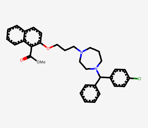 COC(=O)c1c(OCCCN2CCCN(C(c3ccccc3)c3ccc(Cl)cc3)CC2)ccc2ccccc12